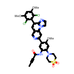 CC#CC(=O)Nc1cc(-c2cc3c(cn2)cc(-c2c(Cl)c(OC)cc(OC)c2Cl)c2nccn23)c(OC)cc1N1CCS(=O)(=O)CC1